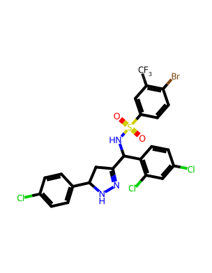 O=S(=O)(NC(C1=NNC(c2ccc(Cl)cc2)C1)c1ccc(Cl)cc1Cl)c1ccc(Br)c(C(F)(F)F)c1